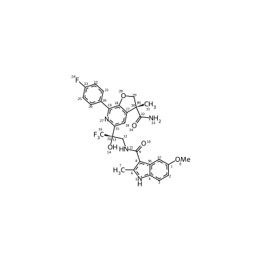 COc1ccc2[nH]c(C)c(C(=O)NC[C@](O)(c3cc4c(c(-c5ccc(F)cc5)n3)OC[C@]4(C)C(N)=O)C(F)(F)F)c2c1